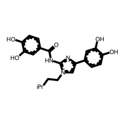 CC(C)CCn1cc(-c2ccc(O)c(O)c2)nc1NC(=O)c1ccc(O)c(O)c1